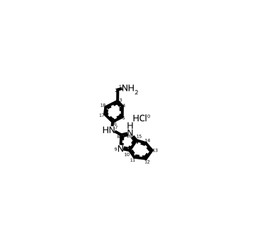 Cl.NCc1ccc(Nc2nc3ccccc3[nH]2)cc1